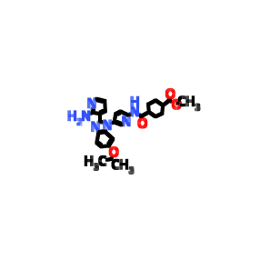 COC(=O)C1CCC(C(=O)Nc2ccc(-n3c(-c4cccnc4N)nc4ccc(OC(C)C)cc43)cn2)CC1